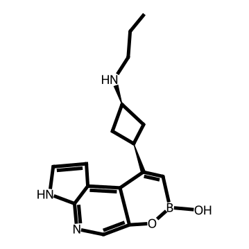 CCCN[C@H]1C[C@@H](C2=CB(O)Oc3cnc4[nH]ccc4c32)C1